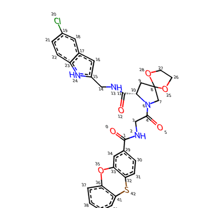 O=C(NCC(=O)N1CC2(C[C@H]1C(=O)NCc1cc3cc(Cl)ccc3[nH]1)OCCO2)c1ccc2c(c1)Oc1ccccc1S2